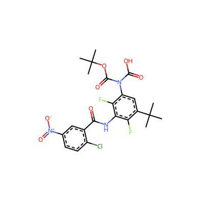 CC(C)(C)OC(=O)N(C(=O)O)c1cc(C(C)(C)C)c(F)c(NC(=O)c2cc([N+](=O)[O-])ccc2Cl)c1F